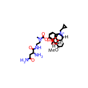 CO[C@]12CC[C@@]3(C[C@@H]1C(C)(C)O)[C@H]1Cc4ccc(OC(=O)N(C)CCNC(=O)[C@@H](N)CC(N)=O)c5c4[C@@]3(CC[N+]1(C)CC1CC1)[C@H]2O5